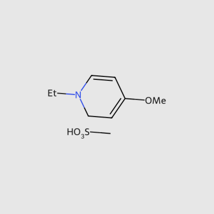 CCN1C=CC(OC)=CC1.CS(=O)(=O)O